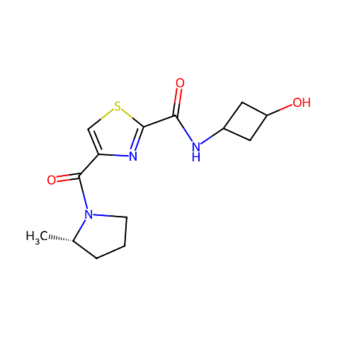 C[C@H]1CCCN1C(=O)c1csc(C(=O)NC2CC(O)C2)n1